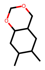 CC1CC2COCOC2CC1C